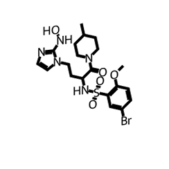 COc1ccc(Br)cc1S(=O)(=O)NC(CCn1ccnc1NO)C(=O)N1CCC(C)CC1